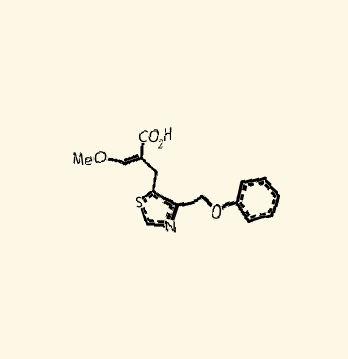 COC=C(Cc1scnc1COc1ccccc1)C(=O)O